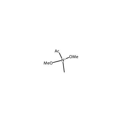 CO[N+](C)(OC)C(C)=O